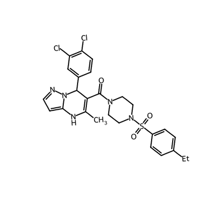 CCc1ccc(S(=O)(=O)N2CCN(C(=O)C3=C(C)Nc4ccnn4C3c3ccc(Cl)c(Cl)c3)CC2)cc1